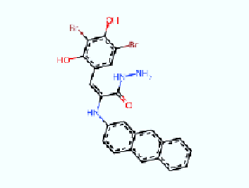 NNC(=O)C(=Cc1cc(Br)c(O)c(Br)c1O)Nc1ccc2cc3ccccc3cc2c1